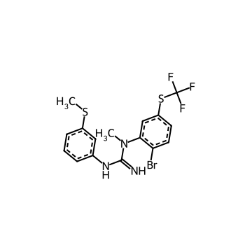 CSc1cccc(NC(=N)N(C)c2cc(SC(F)(F)F)ccc2Br)c1